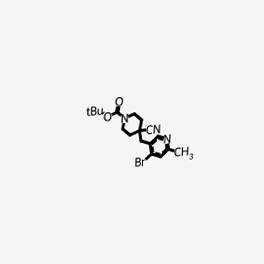 Cc1cc(Br)c(CC2(C#N)CCN(C(=O)OC(C)(C)C)CC2)cn1